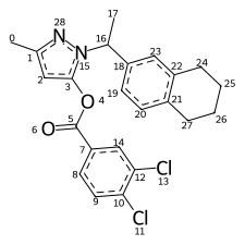 Cc1cc(OC(=O)c2ccc(Cl)c(Cl)c2)n(C(C)c2ccc3c(c2)CCCC3)n1